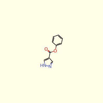 O=C(Oc1ccccc1)c1cn[nH]c1